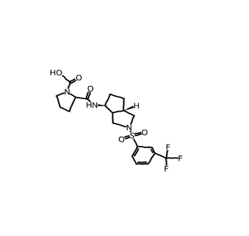 O=C(N[C@H]1CC[C@@H]2CN(S(=O)(=O)c3cccc(C(F)(F)F)c3)CC21)C1CCCN1C(=O)O